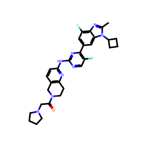 Cc1nc2c(F)cc(-c3nc(Nc4ccc5c(n4)CCN(C(=O)CN4CCCC4)C5)ncc3F)cc2n1C1CCC1